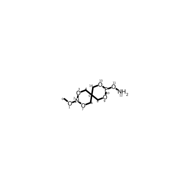 CON1OCC2(CO1)COP(ON)OC2